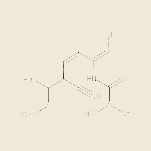 C#CC(/C=C\C(=C/C)NC(=O)N(C)CC)C(C)SNC